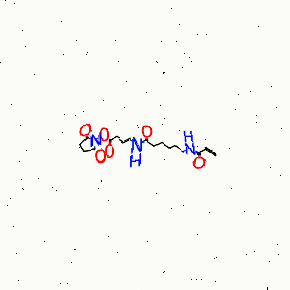 C=CC(=O)NCCCCCC(=O)NCCCC(=O)ON1C(=O)CCC1=O